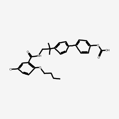 CCCCOc1ccc(Cl)cc1C(=O)NCC(C)(C)c1ccc(-c2ccc(OC(=O)O)cc2)cc1